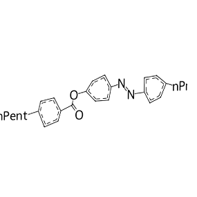 CCCCCc1ccc(C(=O)Oc2ccc(N=Nc3ccc(CCC)cc3)cc2)cc1